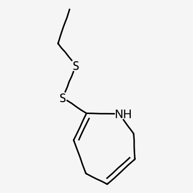 CCSSC1=CCC=CCN1